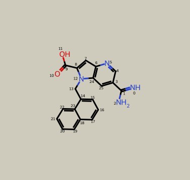 N=C(N)c1cnc2cc(C(=O)O)n(Cc3cccc4ccccc34)c2c1